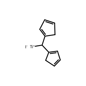 [I-].[Ti+][CH](C1=CC=CC1)C1=CC=CC1